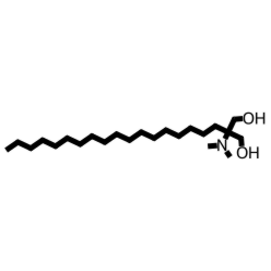 CCCCCCCCCCCCCCCCCCC(CO)(CO)N(C)C